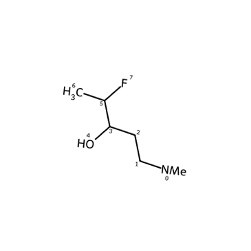 CNCCC(O)C(C)F